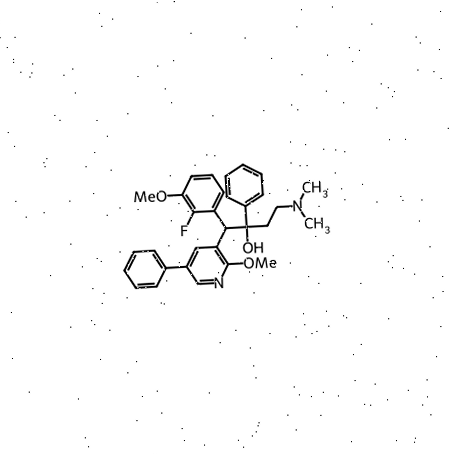 COc1cccc(C(c2cc(-c3ccccc3)cnc2OC)C(O)(CCN(C)C)c2ccccc2)c1F